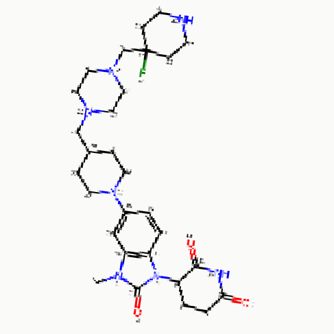 Cn1c(=O)n(C2CCC(=O)NC2=O)c2ccc(N3CCC(CN4CCN(CC5(F)CCNCC5)CC4)CC3)cc21